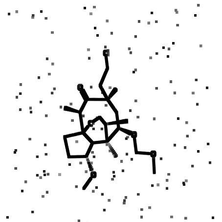 COCO[C@@H]1C[C@@](C)(CCCl)C(=O)[C@H](C)C23CC[C@@H](C)[C@]1(C)C2[C@H](OC)CC3